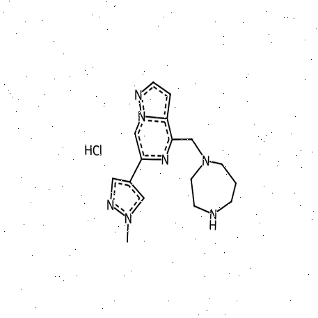 Cl.Cn1cc(-c2cn3nccc3c(CN3CCCNCC3)n2)cn1